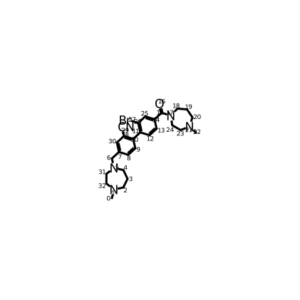 CN1CCCN(Cc2ccc(-c3ccc(C(=O)N4CCCN(C)CC4)cc3Br)c(C#N)c2)CC1